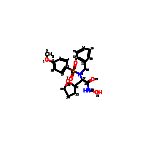 COc1ccc(S(=O)(=O)N(Cc2ccccc2)[C@@H](C(=O)NO)C2CCCO2)cc1